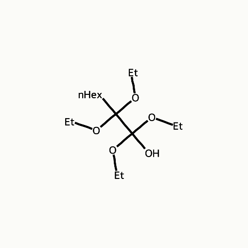 CCCCCCC(OCC)(OCC)C(O)(OCC)OCC